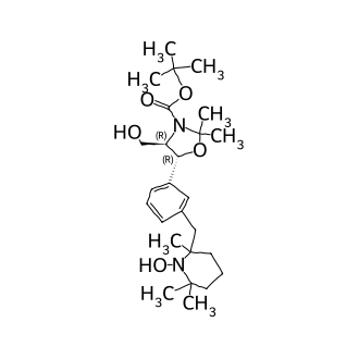 CC(C)(C)OC(=O)N1[C@H](CO)[C@@H](c2cccc(CC3(C)CCCC(C)(C)N3O)c2)OC1(C)C